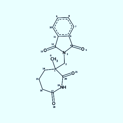 CC1(CN2C(=O)c3ccccc3C2=O)CCCC(=O)NC1=O